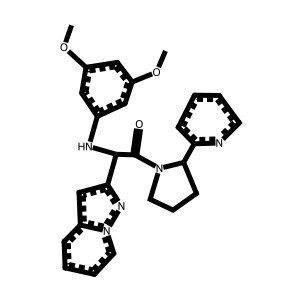 COc1cc(NC(C(=O)N2CCCC2c2ccccn2)c2cc3ccccn3n2)cc(OC)c1